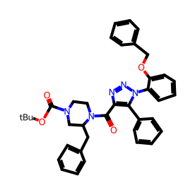 CC(C)(C)OC(=O)N1CCN(C(=O)c2nnn(-c3ccccc3OCc3ccccc3)c2-c2ccccc2)C(Cc2ccccc2)C1